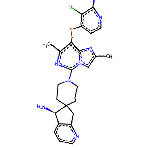 Cc1cn2c(N3CCC4(CC3)Cc3ncccc3[C@H]4N)nc(C)c(Sc3ccnc(N)c3Cl)c2n1